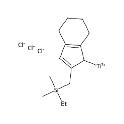 CC[Si](C)(C)CC1=CC2=C(CCCC2)[CH]1[Ti+3].[Cl-].[Cl-].[Cl-]